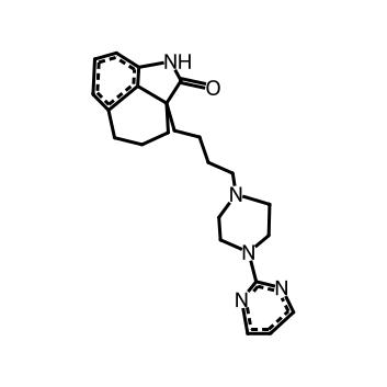 O=C1Nc2cccc3c2C1(CCCCN1CCN(c2ncccn2)CC1)CCC3